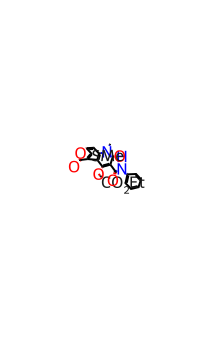 CCOC(=O)Oc1c(C(=O)Nc2ccccc2)c(=O)n(C)c2cc3c(SC)c(c12)C(=O)O3